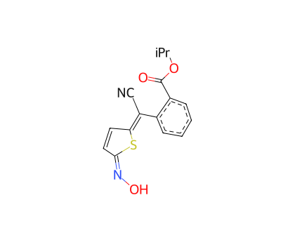 CC(C)OC(=O)c1ccccc1/C(C#N)=C1C=C/C(=N/O)S/1